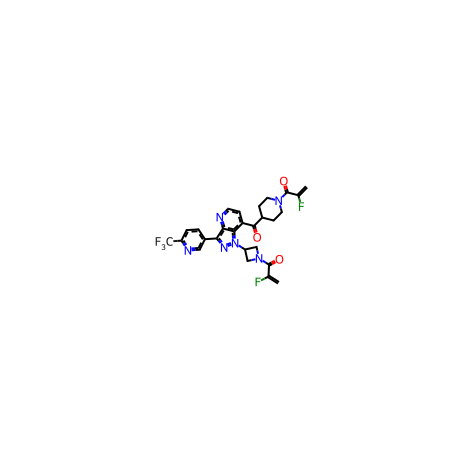 C=C(F)C(=O)N1CCC(C(=O)c2ccnc3c(-c4ccc(C(F)(F)F)nc4)nn(C4CN(C(=O)C(=C)F)C4)c23)CC1